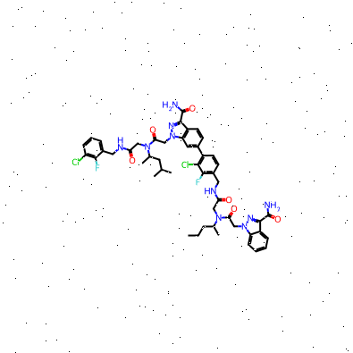 CCCC(C)N(CC(=O)NCc1ccc(-c2ccc3c(C(N)=O)nn(CC(=O)N(CC(=O)NCc4cccc(Cl)c4F)C(C)CC(C)C)c3c2)c(Cl)c1F)C(=O)Cn1nc(C(N)=O)c2ccccc21